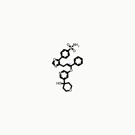 NS(=O)(=O)c1ccc(-c2ocnc2C/C=C(\Oc2cncc(C3(O)CCOCC3)c2)c2ccccc2)cc1